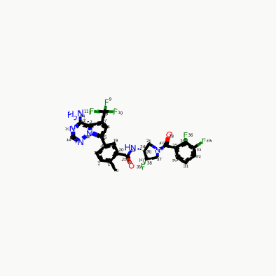 Cc1ccc(-c2cc(C(F)(F)F)c3c(N)ncnn23)cc1C(=O)N[C@@H]1CN(C(=O)c2cccc(F)c2F)C[C@@H]1F